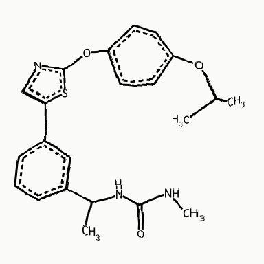 CNC(=O)NC(C)c1cccc(-c2cnc(Oc3ccc(OC(C)C)cc3)s2)c1